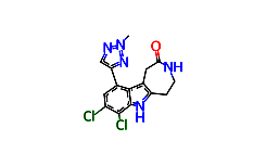 Cn1ncc(-c2cc(Cl)c(Cl)c3[nH]c4c(c23)CC(=O)NCC4)n1